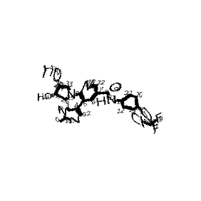 Cc1ncc(-c2cc(C(=O)Nc3ccc(OC(F)(F)Cl)cc3)cnc2N2C[C@H](O)[C@@H](O)C2)cn1